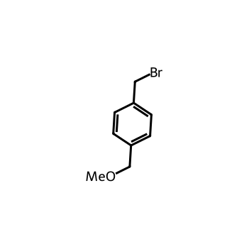 COCc1ccc(CBr)cc1